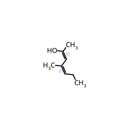 CC/C=C(C)\C=C(\C)O